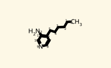 CCCCCCc1ccncc1N